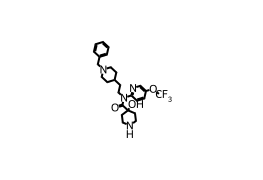 O=C(N(CCC1CCN(Cc2ccccc2)CC1)c1ccc(OC(F)(F)F)cn1)C1(O)CCNCC1